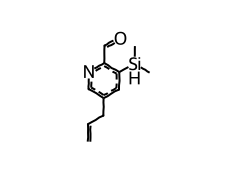 C=CCc1cnc(C=O)c([SiH](C)C)c1